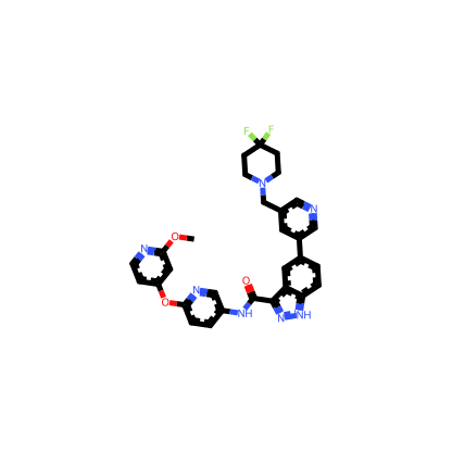 COc1cc(Oc2ccc(NC(=O)c3n[nH]c4ccc(-c5cncc(CN6CCC(F)(F)CC6)c5)cc34)cn2)ccn1